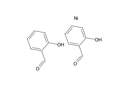 O=Cc1ccccc1O.O=Cc1ccccc1O.[Ni]